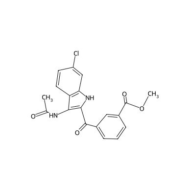 COC(=O)c1cccc(C(=O)c2[nH]c3cc(Cl)ccc3c2NC(C)=O)c1